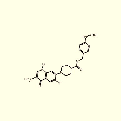 CCn1cc(C(=O)O)c(=O)c2cc(F)c(N3CCN(C(=O)OCc4ccc(NC=O)cc4)CC3)cc21